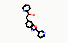 OC(Cc1ccc2nc(-c3cccnc3)oc2c1)c1ccccn1